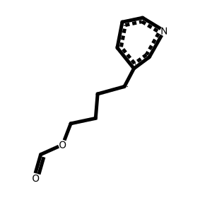 O=COCCC[CH]c1cccnc1